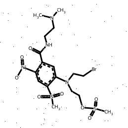 CN(C)CCNC(=O)c1cc(N(CCBr)CCOS(C)(=O)=O)c(S(C)(=O)=O)cc1[N+](=O)[O-]